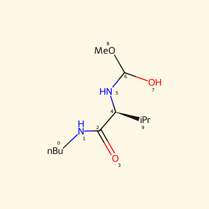 CCCCNC(=O)[C@@H](NC(O)OC)C(C)C